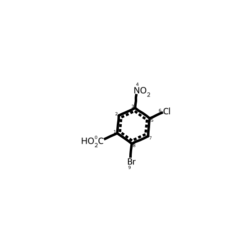 O=C(O)c1cc([N+](=O)[O-])c(Cl)cc1Br